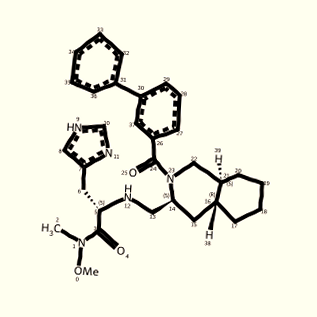 CON(C)C(=O)[C@H](Cc1c[nH]cn1)NC[C@@H]1C[C@H]2CCCC[C@@H]2CN1C(=O)c1cccc(-c2ccccc2)c1